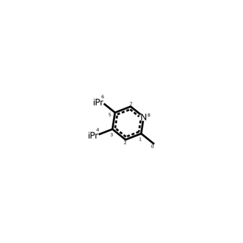 Cc1cc(C(C)C)c(C(C)C)cn1